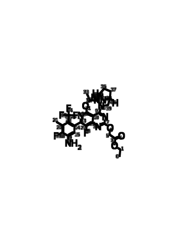 CCOC(=O)COc1nc2c3c(nc(-c4cc(N)c(F)c(C)c4C(F)(F)F)c(F)c3n1)O[C@@H](C)[C@@H]1[C@@H]3CC[C@H](CN21)N3